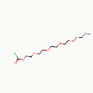 COCCOCCOCCOCCOCCOC(=O)Cl